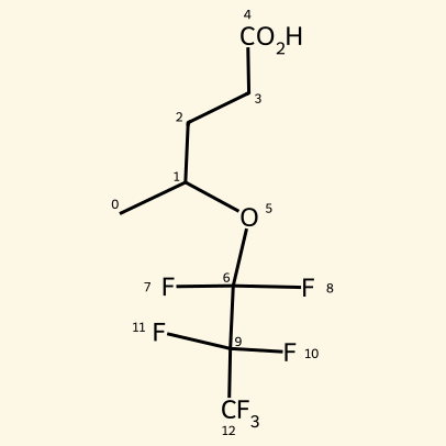 CC(CCC(=O)O)OC(F)(F)C(F)(F)C(F)(F)F